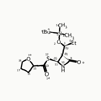 CC[C@H](O[Si](C)(C)C(C)(C)C)[C@@H]1C(=O)N[C@H]1SC(=O)C1CCCO1